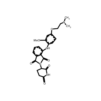 COc1cc(OCCN(C)C)ccc1Nc1cccc2c1C(=O)N(C1CCC(=O)NC1=O)C2=O